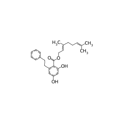 CC(C)=CCC/C(C)=C/COC(=O)c1c(O)cc(O)cc1CCc1ccccc1